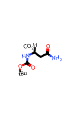 CC(C)(C)OC(=O)NC(CC(N)=O)C(=O)O